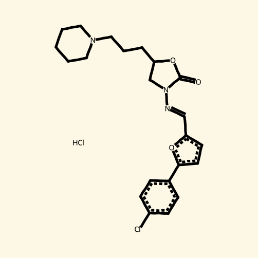 Cl.O=C1OC(CCCN2CCCCC2)CN1/N=C/c1ccc(-c2ccc(Cl)cc2)o1